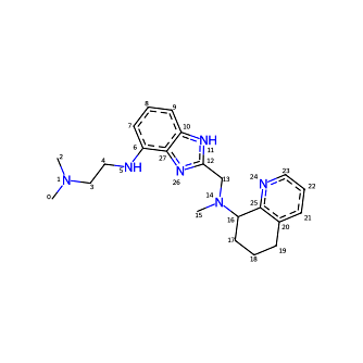 CN(C)CCNc1cccc2[nH]c(CN(C)C3CCCc4cccnc43)nc12